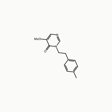 COc1cncn(CCc2ccc(C)cc2)c1=O